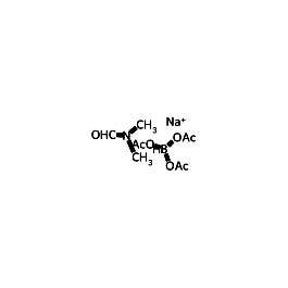 CC(=O)O[BH-](OC(C)=O)OC(C)=O.CN(C)C=O.[Na+]